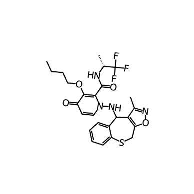 CCCCOc1c(C(=O)N[C@H](C)C(F)(F)F)n(NC2c3ccccc3SCc3onc(C)c32)ccc1=O